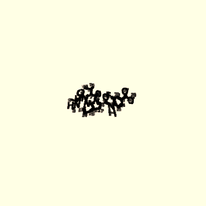 CN[C@@H](C)C(=O)N[C@H](C(=O)N1c2ncccc2C[C@H]1C(=O)Nc1ccc(C(=O)OC)cc1F)C(C)C